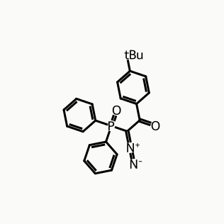 CC(C)(C)c1ccc(C(=O)C(=[N+]=[N-])P(=O)(c2ccccc2)c2ccccc2)cc1